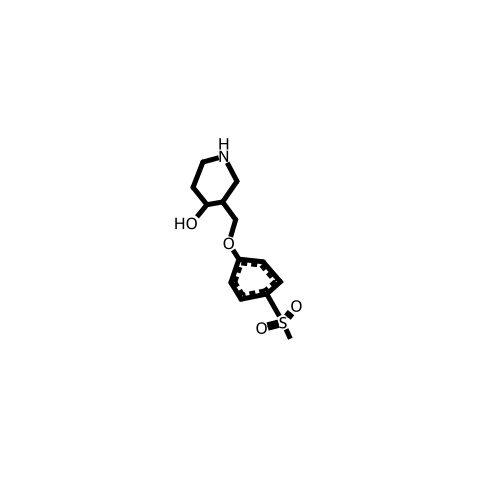 CS(=O)(=O)c1ccc(OCC2CNCCC2O)cc1